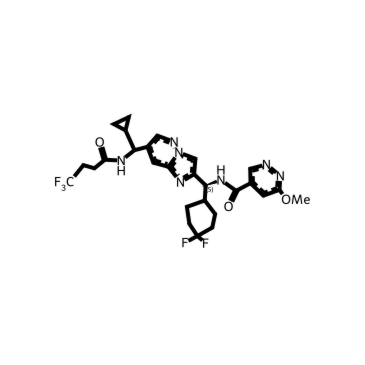 COc1cc(C(=O)N[C@H](c2cn3ncc(C(NC(=O)CCC(F)(F)F)C4CC4)cc3n2)C2CCC(F)(F)CC2)cnn1